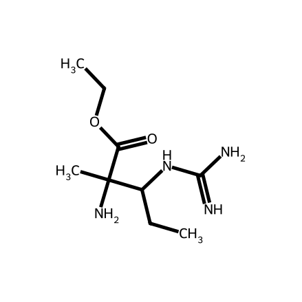 CCOC(=O)C(C)(N)C(CC)NC(=N)N